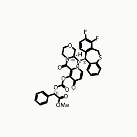 COC(=O)[C@@H](OC(=O)Oc1c2n(ccc1=O)N([C@@H]1c3ccccc3SCc3c1ccc(F)c3F)[C@@H]1COCCN1C2=O)c1ccccc1